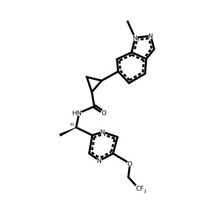 C[C@@H](NC(=O)C1CC1c1ccc2cnn(C)c2c1)c1cnc(OCC(F)(F)F)cn1